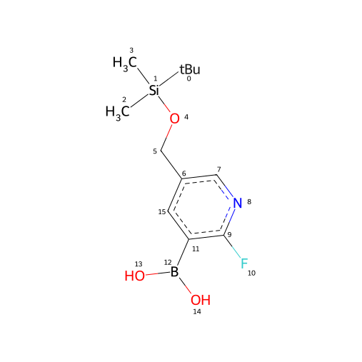 CC(C)(C)[Si](C)(C)OCc1cnc(F)c(B(O)O)c1